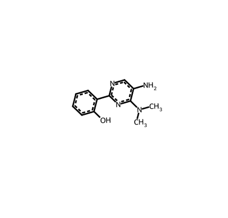 CN(C)c1nc(-c2ccccc2O)ncc1N